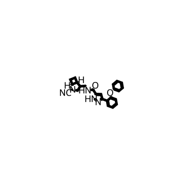 N#CN1CC(CNC(=O)c2cc(-c3ccccc3Oc3ccccc3)n[nH]2)[C@@H]2CC[C@@H]21